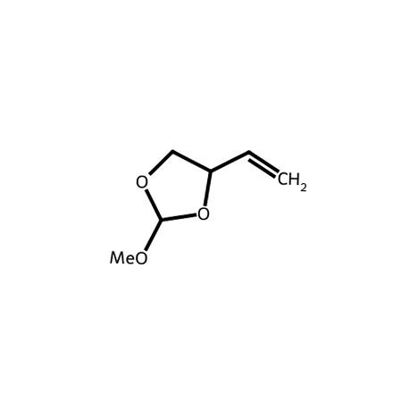 C=CC1COC(OC)O1